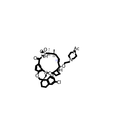 CC(=O)N1CCN(CCO[C@H]2/C=C/C[C@H](C)[C@@H](C)S(=O)(=O)NC(=O)c3ccc4c(c3)N(C[C@@H]3CC[C@H]32)C[C@@]2(CCCc3cc(Cl)ccc32)CO4)CC1